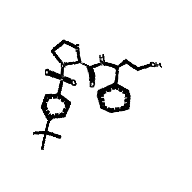 CC(C)(C)c1ccc(S(=O)(=O)N2CCS[C@@H]2C(=O)N[C@@H](CCO)c2ccccc2)cc1